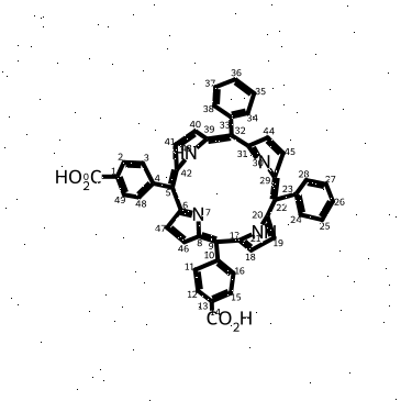 O=C(O)c1ccc(-c2c3nc(c(-c4ccc(C(=O)O)cc4)c4ccc([nH]4)c(-c4ccccc4)c4nc(c(-c5ccccc5)c5ccc2[nH]5)C=C4)C=C3)cc1